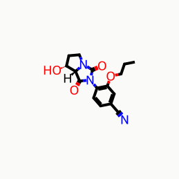 CCCOc1cc(C#N)ccc1N1C(=O)[C@@H]2[C@H](O)CCN2C1=O